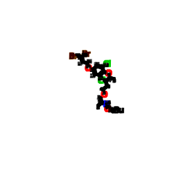 CC(COCCCC(C)Oc1c(Cl)cc(OCC=C(Br)Br)cc1Cl)=NOC(C)(C)C